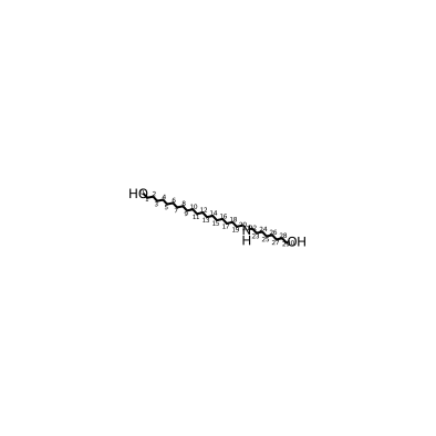 OCCCCCCCCCCCCCCCCCCCCNCCCCCCCCO